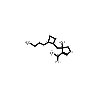 CCCCC1CCC1CC1(S)CCC=C1C(C)S